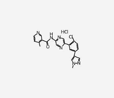 Cc1ccncc1C(=O)Nc1cnc(-c2cc(-c3cnn(C)c3)ccc2Cl)cn1.Cl